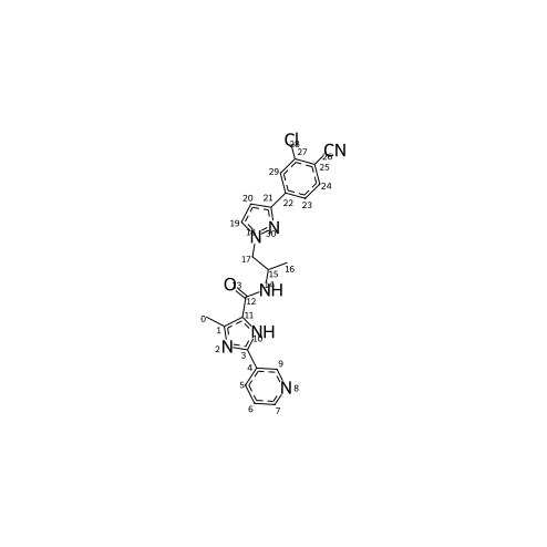 Cc1nc(-c2cccnc2)[nH]c1C(=O)NC(C)Cn1ccc(-c2ccc(C#N)c(Cl)c2)n1